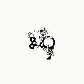 COc1ccc2nc(O[C@H]3CN4C(=O)C(NC(=O)OC(C)(C)C)CCCCC/C=C\[C@@H]5C[C@@]5(C(=O)NS(=O)(=O)C5CC5)NC(=O)[C@]4(O)C3)c3c(c2c1)CCC3